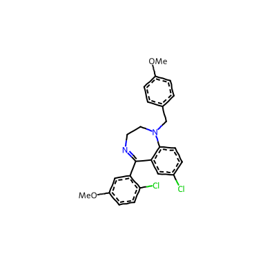 COc1ccc(CN2CCN=C(c3cc(OC)ccc3Cl)c3cc(Cl)ccc32)cc1